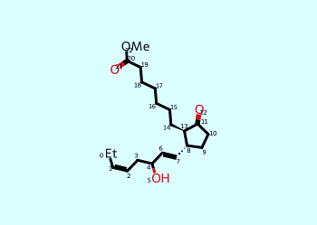 CC/C=C\CC(O)/C=C/[C@H]1CCC(=O)[C@@H]1CCCCCCC(=O)OC